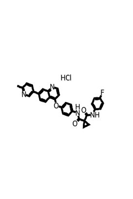 Cc1ccc(-c2ccc3c(Oc4ccc(NC(=O)C5(C(=O)Nc6ccc(F)cc6)CC5)cc4)ccnc3c2)cn1.Cl